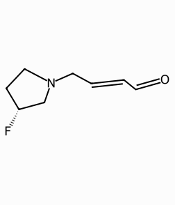 O=CC=CCN1CC[C@@H](F)C1